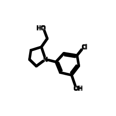 OCC1CCCN1c1cc(O)cc(Cl)c1